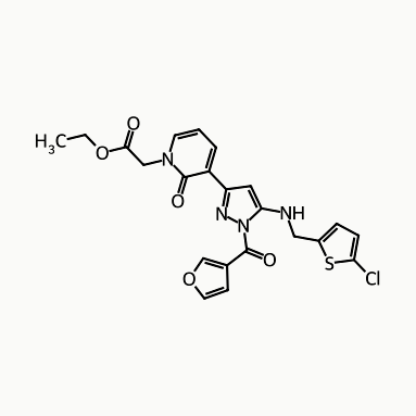 CCOC(=O)Cn1cccc(-c2cc(NCc3ccc(Cl)s3)n(C(=O)c3ccoc3)n2)c1=O